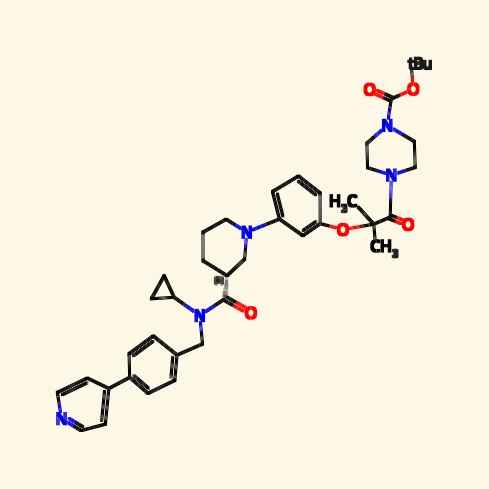 CC(C)(C)OC(=O)N1CCN(C(=O)C(C)(C)Oc2cccc(N3CCC[C@@H](C(=O)N(Cc4ccc(-c5ccncc5)cc4)C4CC4)C3)c2)CC1